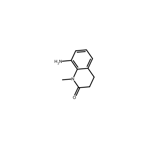 CN1C(=O)CCc2cccc(N)c21